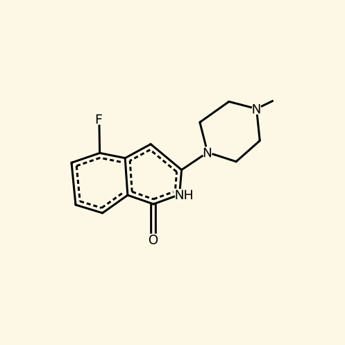 CN1CCN(c2cc3c(F)cccc3c(=O)[nH]2)CC1